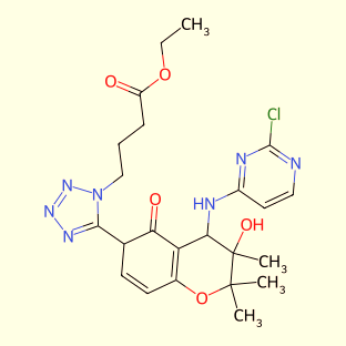 CCOC(=O)CCCn1nnnc1C1C=CC2=C(C1=O)C(Nc1ccnc(Cl)n1)C(C)(O)C(C)(C)O2